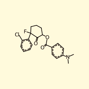 CN(C)c1ccc(C(=O)OC2CCCC(F)(c3ccccc3Cl)C2=O)cc1